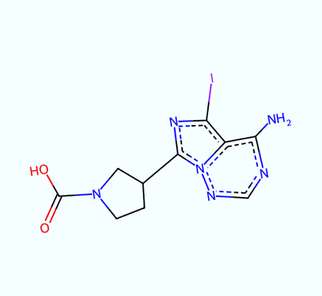 Nc1ncnn2c(C3CCN(C(=O)O)C3)nc(I)c12